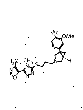 COc1cc([C@@]23C[C@H]2CN(CCCSc2nnc(-c4ocnc4C)n2C)C3)ccc1C(C)=O